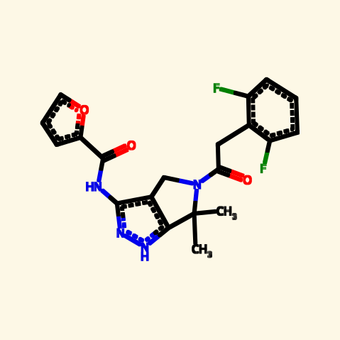 CC1(C)c2[nH]nc(NC(=O)c3ccco3)c2CN1C(=O)Cc1c(F)cccc1F